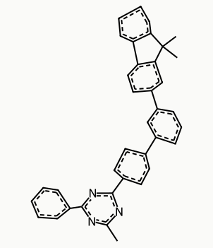 Cc1nc(-c2ccccc2)nc(-c2ccc(-c3cccc(-c4ccc5c(c4)C(C)(C)c4ccccc4-5)c3)cc2)n1